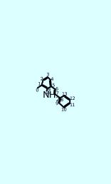 Cc1cccc(C=Cc2ccccc2)c1N